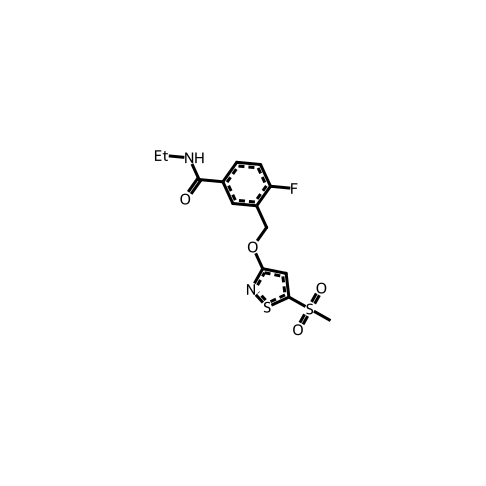 CCNC(=O)c1ccc(F)c(COc2cc(S(C)(=O)=O)sn2)c1